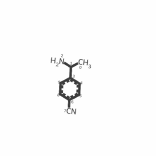 CC(N)c1ccc(C#N)cc1